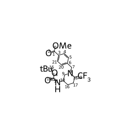 COC(=O)c1ccc(CN2CC(NC(=O)OC(C)(C)C)CCC2C(F)(F)F)cc1